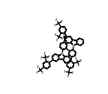 N#Cc1ccc(-n2c3ccccc3c3cc(-c4ccc(C(F)(F)F)cc4C(F)(F)F)ccc32)c(-c2cc(-c3ccc(C(F)(F)F)cc3C(F)(F)F)ccc2-n2c3ccccc3c3cc(-c4ccc(C(F)(F)F)cc4C(F)(F)F)ccc32)c1